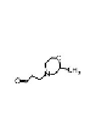 CC1CN(CCC=O)CCO1